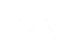 CCN(CC)C(=O)Cc1nnc(-c2c(O)n(-c3c(OC)cccc3OC)c(CCC3CC3)nc2=O)o1